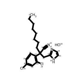 CCCCCCCCC(C#N)(Cc1ncc[nH]1)c1ccc(Cl)cc1Cl.Cl